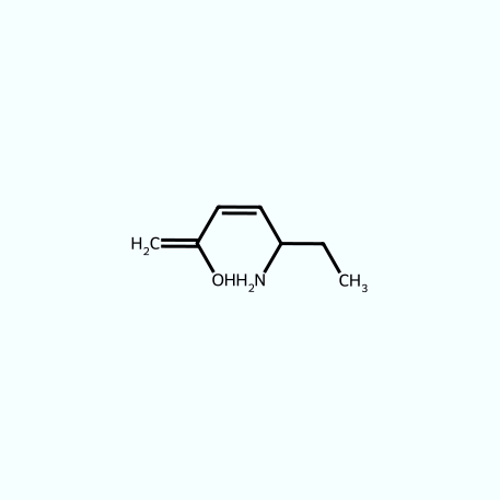 C=C(O)/C=C\C(N)CC